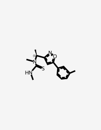 CNC(=S)N(C)[C@@H](C)c1cc(-c2cccc(C)c2)on1